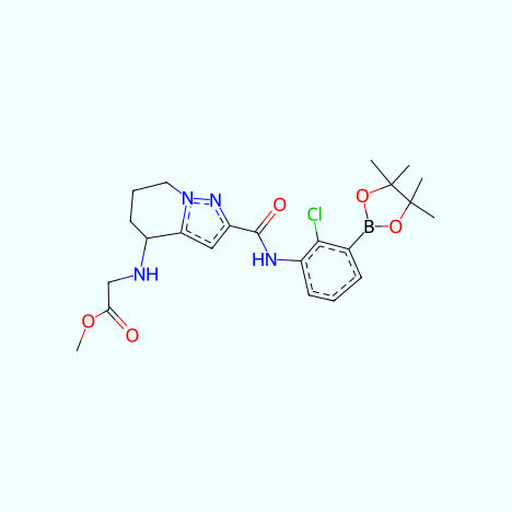 COC(=O)CNC1CCCn2nc(C(=O)Nc3cccc(B4OC(C)(C)C(C)(C)O4)c3Cl)cc21